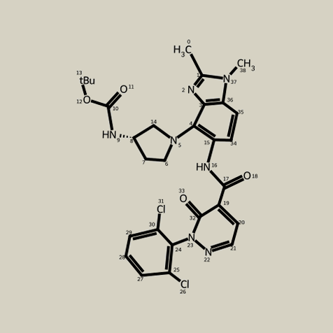 Cc1nc2c(N3CC[C@H](NC(=O)OC(C)(C)C)C3)c(NC(=O)c3ccnn(-c4c(Cl)cccc4Cl)c3=O)ccc2n1C